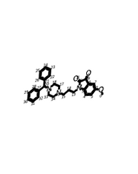 COc1ccc2c(c1)C(=O)C(=O)N2CCCN1CCN(C(c2ccccc2)c2ccccc2)CC1